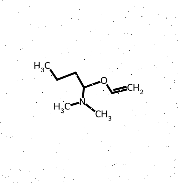 C=COC(CCC)N(C)C